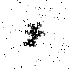 CCC(C)SP(=O)(NC)N(C=Nc1cccc(Cl)c1)CC